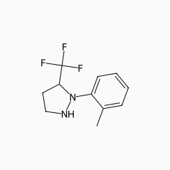 Cc1ccccc1N1NCCC1C(F)(F)F